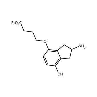 CCOC(=O)CCCOc1ccc(O)c2c1CC(N)C2